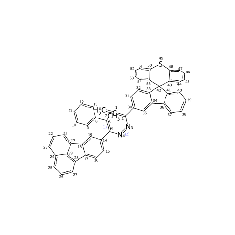 C=C=C(/N=N\C(=C(/C)c1ccccc1)c1ccc2c(c1)-c1cccc3cccc-2c13)c1ccc2c(c1)-c1ccccc1C21c2ccccc2Sc2ccccc21